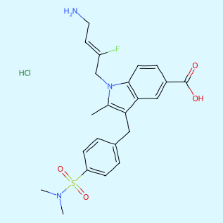 Cc1c(Cc2ccc(S(=O)(=O)N(C)C)cc2)c2cc(C(=O)O)ccc2n1CC(F)=CCN.Cl